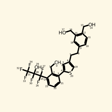 CCc1c(-c2cc(CCc3ccc(CO)c(CO)c3)cs2)cccc1C(F)(F)C(O)(F)C(F)(F)F